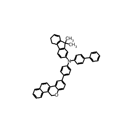 CC1(C)C2=C(CCC=C2)c2ccc(N(c3ccc(-c4ccccc4)cc3)c3ccc(-c4ccc5c(c4)-c4ccc6ccccc6c4CO5)cc3)cc21